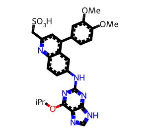 COc1ccc(-c2cc(CS(=O)(=O)O)nc3ccc(Nc4nc(OC(C)C)c5nc[nH]c5n4)cc23)cc1OC